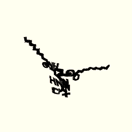 CCCCCCCCCCCC(=O)NCc1ccc(COC(=O)CCCCCCCCCCC)c(-c2nn3nc(C(C)(C)C)c(Cl)c3[nH]2)c1